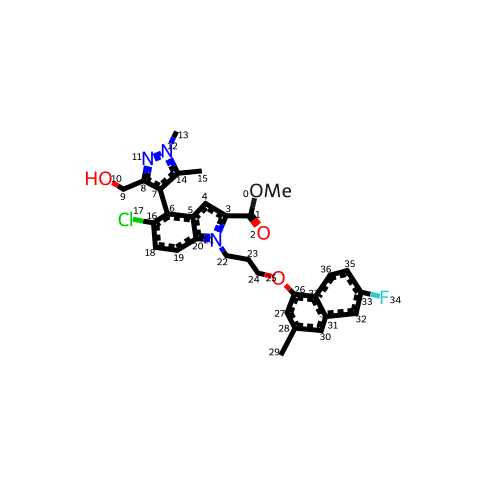 COC(=O)c1cc2c(-c3c(CO)nn(C)c3C)c(Cl)ccc2n1CCCOc1cc(C)cc2cc(F)ccc12